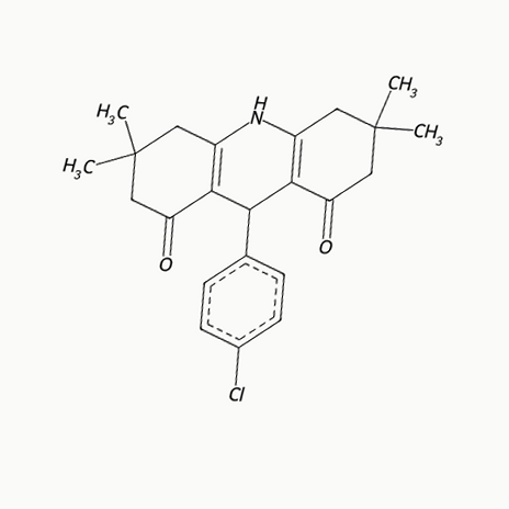 CC1(C)CC(=O)C2=C(C1)NC1=C(C(=O)CC(C)(C)C1)C2c1ccc(Cl)cc1